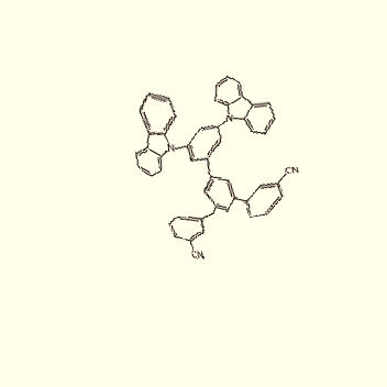 N#Cc1cccc(-c2cc(-c3cccc(C#N)c3)cc(-c3cc(-n4c5ccccc5c5ccccc54)cc(-n4c5ccccc5c5ccccc54)c3)c2)c1